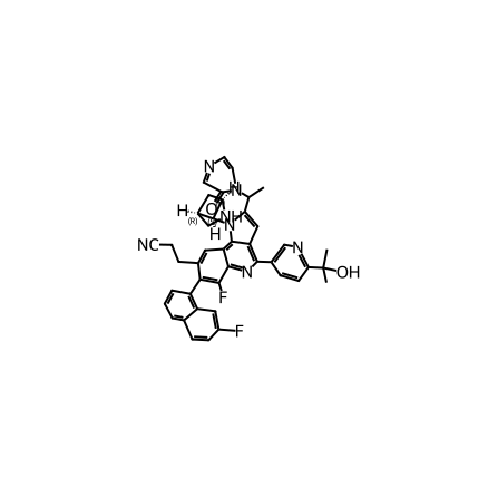 CC(c1cc2c(-c3ccc(C(C)(C)O)nc3)nc3c(F)c(-c4cccc5ccc(F)cc45)c(CCC#N)cc3c2n1[C@H]1[C@H]2CN[C@@H]1C2)n1ccncc1=O